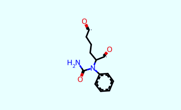 NC(=O)N(c1ccccc1)C([C]=O)CCC[C]=O